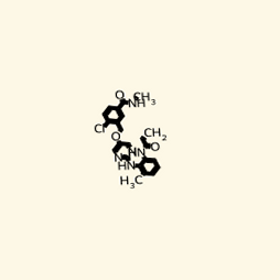 C=CC(=O)Nc1cccc(C)c1Nc1ncc(OCc2cc(C(=O)NC)ccc2Cl)cn1